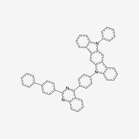 c1ccc(-c2ccc(-c3nc(-c4ccc(-n5c6ccccc6c6cc7c(cc65)c5ccccc5n7-c5ccccc5)cc4)c4ccccc4n3)cc2)cc1